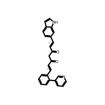 O=C(/C=C/c1ccc2cc[nH]c2c1)CC(=O)/C=C/c1ccccc1-c1cccnc1